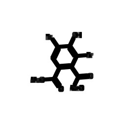 COC(=O)c1cc(Br)c(O)c(Br)c1C(=O)OC